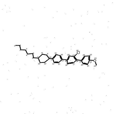 CCCCCCCC1CCC(c2ccc(-c3ccc(-c4ccc(OC)cc4)c(Cl)c3)cc2)CC1